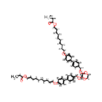 C=CC(=O)OCCCCCCCCCCOc1ccc(-c2ccc(COC3OCCOC3OCc3ccc(-c4ccc(OCCCCCCCCCCOC(=O)C=C)cc4)cc3)cc2)cc1